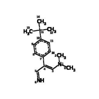 CN(C)/C=C(/C=N)c1ccc(C(C)(C)C)cc1